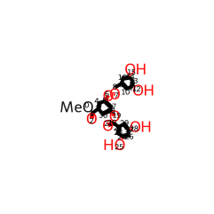 COC(=O)c1cc(OOCc2cc(O)cc(O)c2)cc(OC(=O)c2cc(O)cc(O)c2)c1